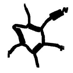 Cc1c(I)cc(I)c(C#N)c1F